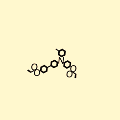 C=CC(=O)Oc1ccc(-c2ccc(N(c3ccc(OC(=O)C=C)cc3)c3cccc(C)c3)cc2)cc1